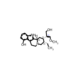 CC[C@@H]1CN2CCc3c([nH]c4cccc(O)c34)[C@@H]2C[C@@H]1/C(=C\OC)CO